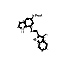 CCCCCc1cc(/N=C/c2[nH]c3ccccc3c2C)c2[nH]ccc2c1